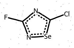 Fc1n[se]c(Cl)n1